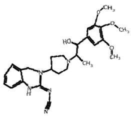 COc1cc(C(O)C(C)N2CCC(N3Cc4ccccc4NC3=NC#N)CC2)cc(OC)c1OC